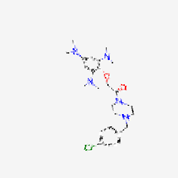 CN(C)c1cc(N(C)C)c(OCC(=O)N2CCN(Cc3ccc(Cl)cc3)CC2)c(N(C)C)c1